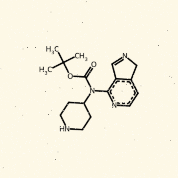 CC(C)(C)OC(=O)N(c1nccc2c1C=NC2)C1CCNCC1